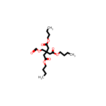 CCCCOC(=O)CC(COC=O)(CC(=O)OCCCC)CC(=O)OCCCC